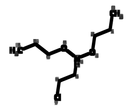 CCCO[SiH](CCCl)OCCC